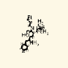 CCSCCNC(=O)[C@H](CCC(C)(C)F)C[C@H](O)[C@@H](N)Cc1ccccc1